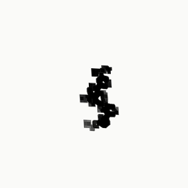 Cc1ccc(-c2cncc3[nH]c(-c4n[nH]c5cnc(-c6cncc(NC(C)C)c6)c(F)c45)nc23)s1